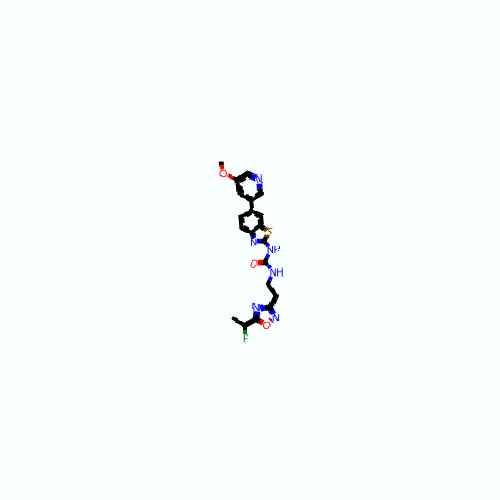 COc1cncc(-c2ccc3nc(NC(=O)NCCc4noc(C(C)F)n4)sc3c2)c1